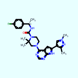 Cc1nn(C)cc1-c1cc2c(N3CCN(C(=O)N[C@@H](C)c4ccc(F)cc4)C(C)(C)C3)ncnc2[nH]1